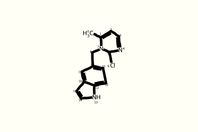 CC1=CC=NC(Cl)N1Cc1ccc2[nH]ccc2c1